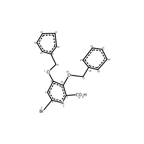 O=C(O)c1nc(Br)cc(OCc2ccccc2)c1OCc1ccccc1